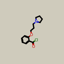 O=C(Cl)c1ccccc1OCCCN1CCCC1